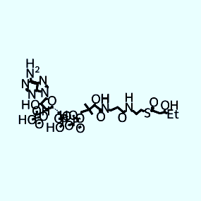 CCC(O)CC(=O)SCCNC(=O)CCNC(=O)C(O)C(C)(C)COP(=O)(O)OP(=O)(O)OC[C@H]1O[C@@H](n2cnc3c(N)ncnc32)[C@H](O)[C@@H]1OP(=O)(O)O